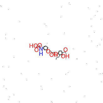 CCCc1c(OCC(O)COc2cccc(NC(=O)C(=O)O)c2)ccc(C(C)=O)c1O